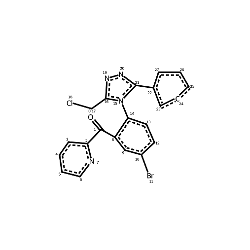 O=C(c1ccccn1)c1cc(Br)ccc1-n1c(CCl)nnc1-c1ccccc1